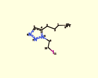 CC(C)CCCc1cnnn1CCI